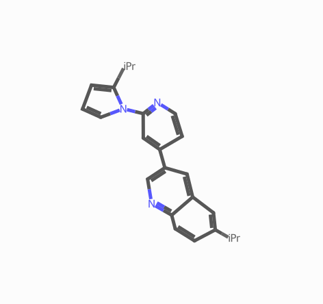 CC(C)c1ccc2ncc(-c3ccnc(-n4cccc4C(C)C)c3)cc2c1